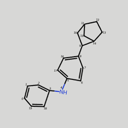 c1ccc(Nc2ccc(C3CC4CCC3C4)cc2)cc1